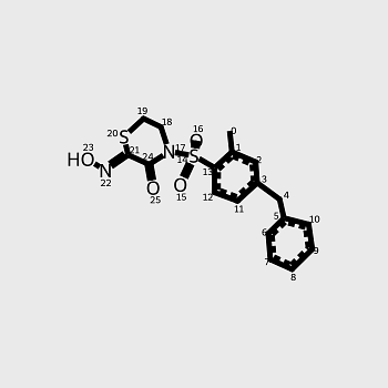 Cc1cc(Cc2ccccc2)ccc1S(=O)(=O)N1CCSC(=NO)C1=O